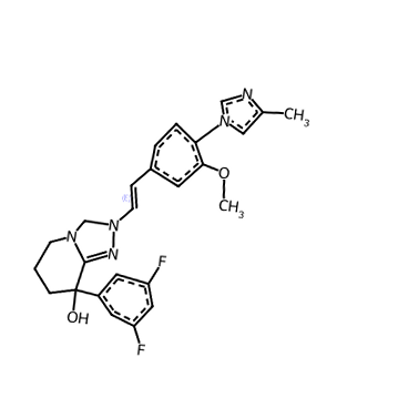 COc1cc(/C=C/N2CN3CCCC(O)(c4cc(F)cc(F)c4)C3=N2)ccc1-n1cnc(C)c1